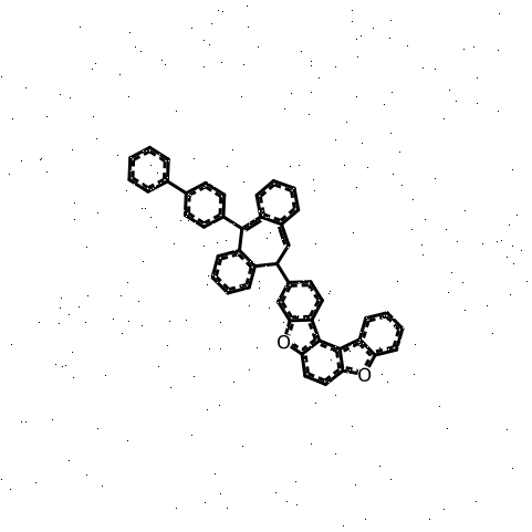 C1=c2ccccc2=C(c2ccc(-c3ccccc3)cc2)c2ccccc2C1c1ccc2c(c1)oc1ccc3oc4ccccc4c3c12